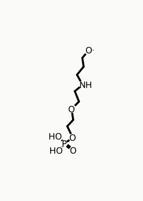 [O]CCCNCCOCCOP(=O)(O)O